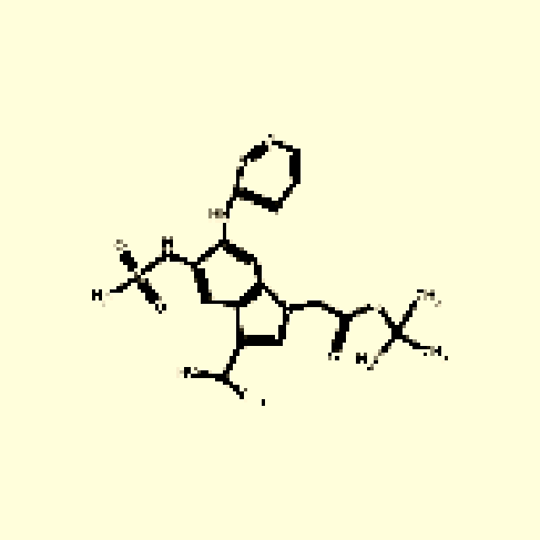 CC(O)c1cn(CC(=O)OC(C)(C)C)c2cc(Nc3cccnn3)c(NS(C)(=O)=O)cc12